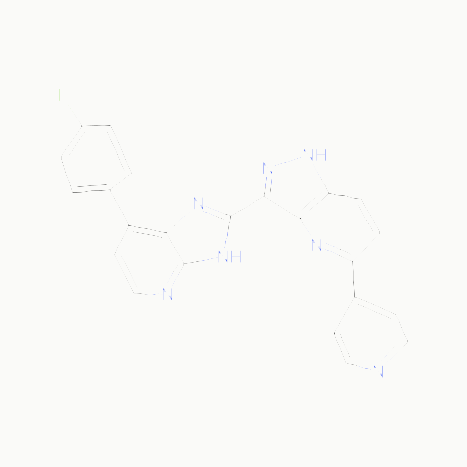 Fc1ccc(-c2ccnc3[nH]c(-c4n[nH]c5ccc(-c6ccncc6)nc45)nc23)cc1